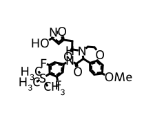 COc1ccc2c(c1)OCCN(C(=O)Cc1cc(O)no1)C2C(=O)Nc1cc(F)c(S(C)(C)C)c(F)c1